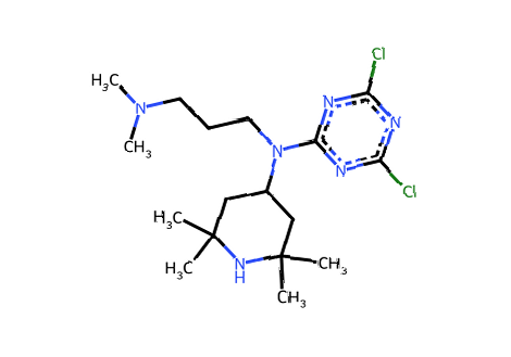 CN(C)CCCN(c1nc(Cl)nc(Cl)n1)C1CC(C)(C)NC(C)(C)C1